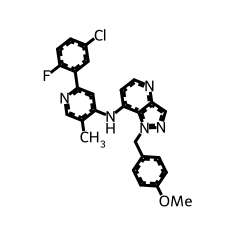 COc1ccc(Cn2ncc3nccc(Nc4cc(-c5cc(Cl)ccc5F)ncc4C)c32)cc1